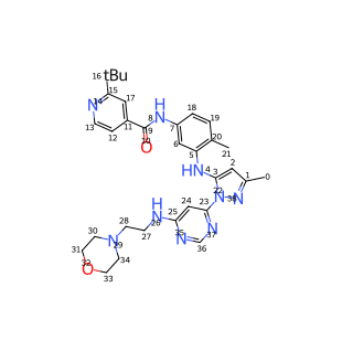 Cc1cc(Nc2cc(NC(=O)c3ccnc(C(C)(C)C)c3)ccc2C)n(-c2cc(NCCN3CCOCC3)ncn2)n1